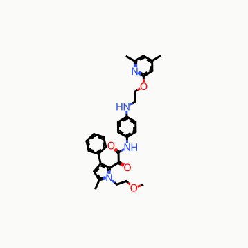 COCCn1c(C)cc(-c2ccccc2)c1C(=O)C(=O)Nc1ccc(NCCOc2cc(C)cc(C)n2)cc1